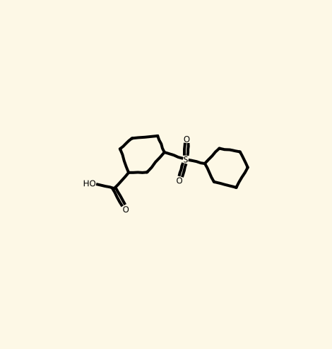 O=C(O)C1CCCC(S(=O)(=O)C2CCCCC2)C1